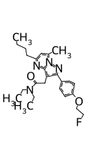 CCCCc1cc(C)n2nc(-c3ccc(OCCF)cc3)c(CC(=O)N(CC)CC)c2n1